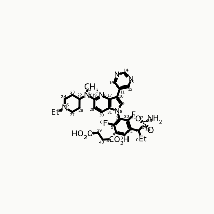 CCC(c1ccc(F)c(-n2cc(-c3cncnc3)c3nc(N(C)C4CCN(CC)CC4)ccc32)c1F)S(N)(=O)=O.O=C(O)CCC(=O)O